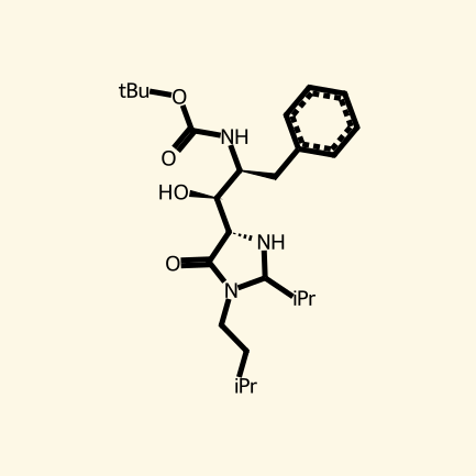 CC(C)CCN1C(=O)[C@H]([C@@H](O)[C@H](Cc2ccccc2)NC(=O)OC(C)(C)C)NC1C(C)C